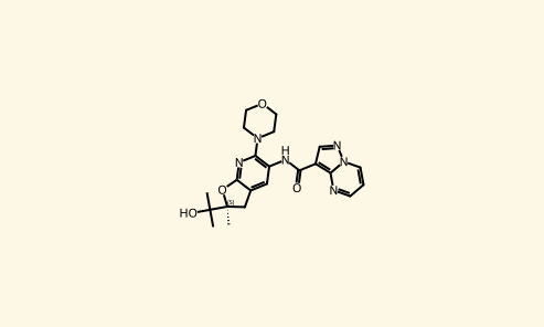 CC(C)(O)[C@]1(C)Cc2cc(NC(=O)c3cnn4cccnc34)c(N3CCOCC3)nc2O1